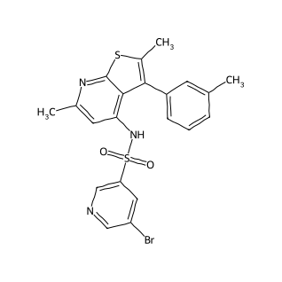 Cc1cccc(-c2c(C)sc3nc(C)cc(NS(=O)(=O)c4cncc(Br)c4)c23)c1